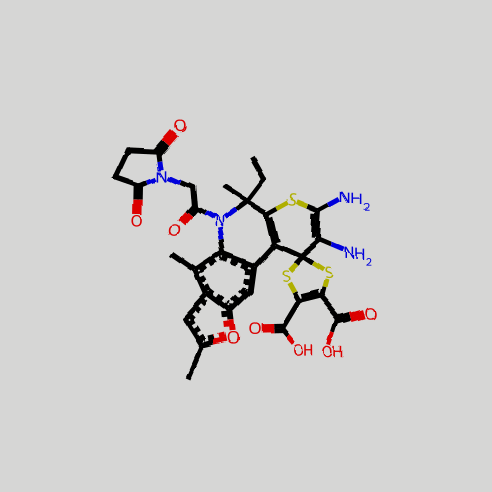 CCC1(C)C2=C(c3cc4oc(C)cc4c(C)c3N1C(=O)CN1C(=O)CCC1=O)C1(SC(C(=O)O)=C(C(=O)O)S1)C(N)=C(N)S2